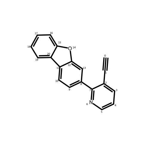 C#Cc1cccnc1-c1ccc2c(c1)oc1ccccc12